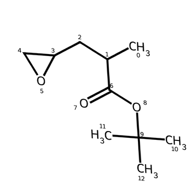 CC(CC1CO1)C(=O)OC(C)(C)C